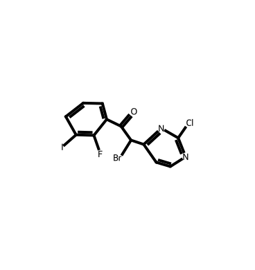 O=C(c1cccc(I)c1F)C(Br)c1ccnc(Cl)n1